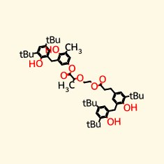 Cc1cc(OC(=O)C(C)OCCOC(=O)CCc2cc(Cc3cc(C(C)(C)C)cc(C(C)(C)C)c3O)c(O)c(C(C)(C)C)c2)cc(Cc2cc(C(C)(C)C)cc(C(C)(C)C)c2O)c1O